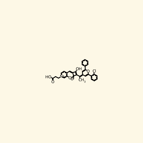 C/C(C1=C(O)C(=Cc2cc[n+](CCC(=O)O)cc2O)C1=O)=C1/C=C(c2ccccc2)OC(c2ccccc2Cl)=C1